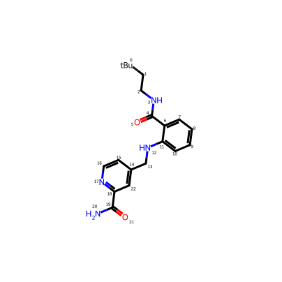 CC(C)(C)CCNC(=O)c1ccccc1NCc1ccnc(C(N)=O)c1